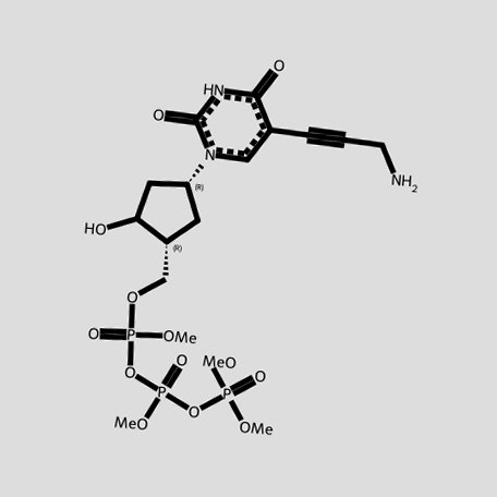 COP(=O)(OC)OP(=O)(OC)OP(=O)(OC)OC[C@H]1C[C@@H](n2cc(C#CCN)c(=O)[nH]c2=O)CC1O